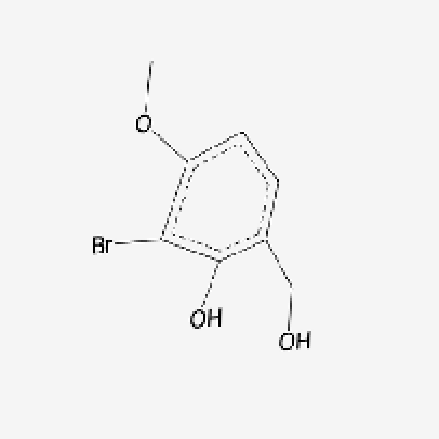 COc1ccc(CO)c(O)c1Br